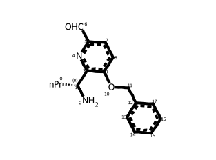 CCC[C@@H](N)c1nc(C=O)ccc1OCc1ccccc1